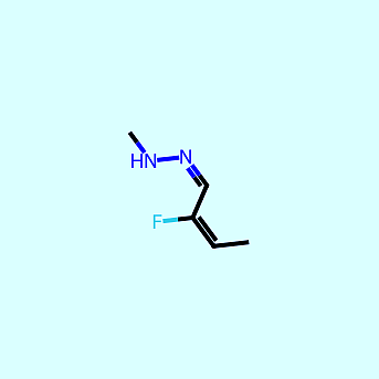 C/C=C(F)\C=N/NC